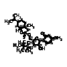 C=C(C)[C@H]1CC[C@@]2(C)S[P@](=S)(OC[C@H]3O[C@@H](n4ccc(N)nc4=O)[C@H](O)[C@@H]3O[Si](C)(C)C(C)(C)C)O[C@@H]2C1